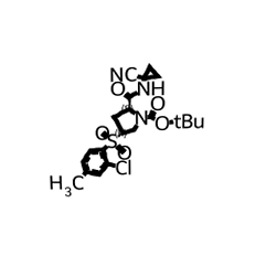 Cc1ccc(S(=O)(=O)[C@@H]2C[C@@H](C(=O)NC3(C#N)CC3)N(C(=O)OC(C)(C)C)C2)c(Cl)c1